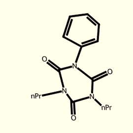 CCCn1c(=O)n(CCC)c(=O)n(-c2ccccc2)c1=O